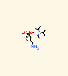 CCN(C(C)C)C(C)C.CO[Si](CCCN)(OC)OC